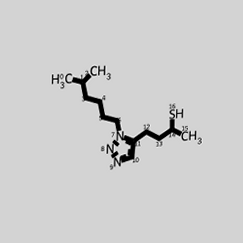 CC(C)CCCCn1nncc1CCC(C)S